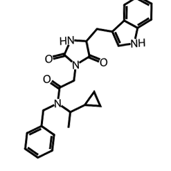 CC(C1CC1)N(Cc1ccccc1)C(=O)CN1C(=O)NC(Cc2c[nH]c3ccccc23)C1=O